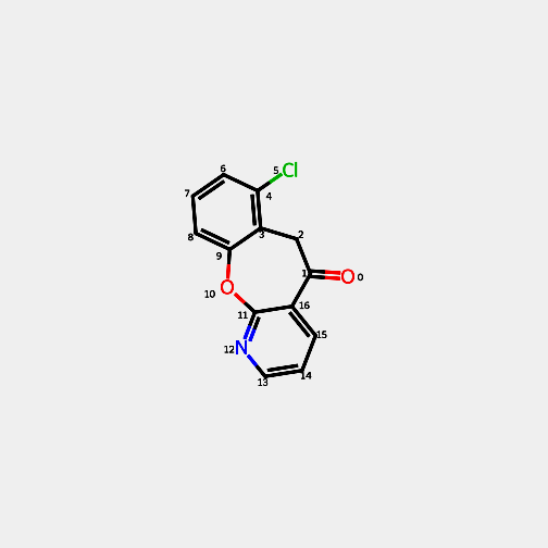 O=C1Cc2c(Cl)cccc2Oc2ncccc21